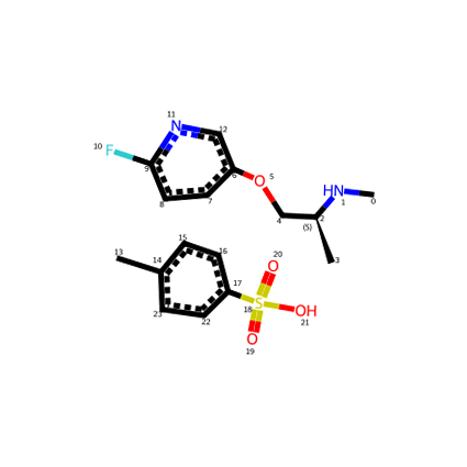 CN[C@@H](C)COc1ccc(F)nc1.Cc1ccc(S(=O)(=O)O)cc1